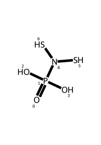 O=P(O)(O)N(S)S